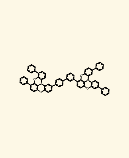 c1ccc(-c2ccc3c(c2)Oc2ccc(-c4cccc(-c5ccc(-c6ccc7c(c6)B6c8cccc(-c9ccccc9)c8Oc8c(-c9ccccc9)ccc(c86)O7)cc5)c4)c4c2B3c2cc(-c3ccccc3)ccc2O4)cc1